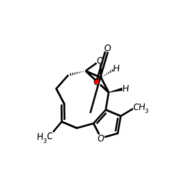 C/C1=C\CC[C@]23O[C@H]2[C@@H](OC3=O)c2c(C)coc2C1